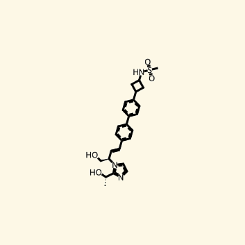 C[C@H](O)c1nccn1[C@H](/C=C/c1ccc(-c2ccc(C3CC(NS(C)(=O)=O)C3)cc2)cc1)CO